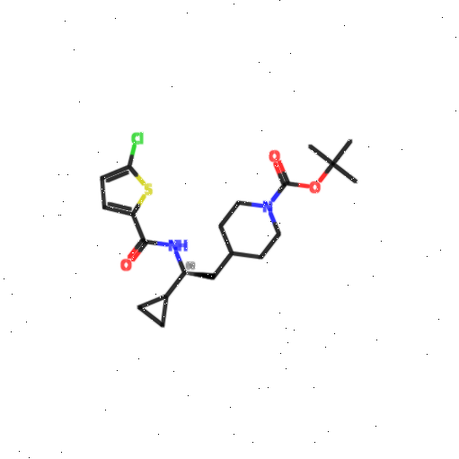 CC(C)(C)OC(=O)N1CCC(C[C@H](NC(=O)c2ccc(Cl)s2)C2CC2)CC1